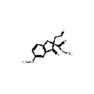 COC(=O)C1(CC=O)Cc2ccc(OC)cc2C1=O